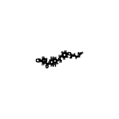 C=N/C=C\C=C(/C)Oc1ccc(CN(C)[C@H]2C[C@@H]3CN(C(=O)n4cc(Cl)cn4)C[C@@H]3C2)cc1